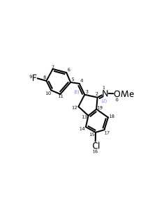 CO/N=C1/C(=C/c2ccc(F)cc2)Cc2cc(Cl)ccc21